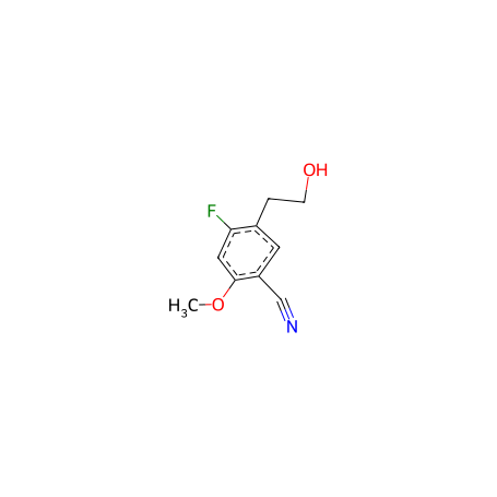 COc1cc(F)c(CCO)cc1C#N